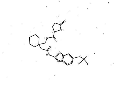 O=C(CC1(CNC(=O)[C@H]2CCC(=O)N2)CCCCC1)Nc1nc2ccc(OC(F)(F)F)cc2s1